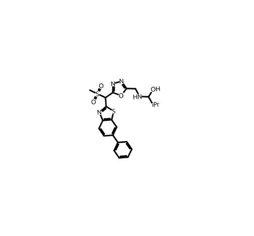 CC(C)C(O)NCc1nnc(C(c2nc3ccc(-c4ccccc4)cc3s2)S(C)(=O)=O)o1